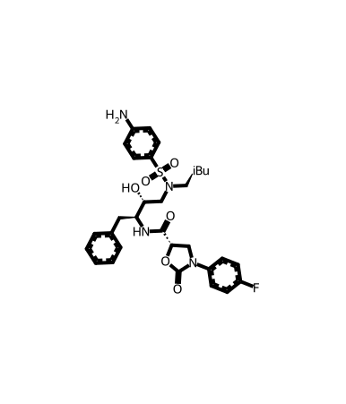 CC[C@H](C)CN(C[C@@H](O)[C@H](Cc1ccccc1)NC(=O)[C@@H]1CN(c2ccc(F)cc2)C(=O)O1)S(=O)(=O)c1ccc(N)cc1